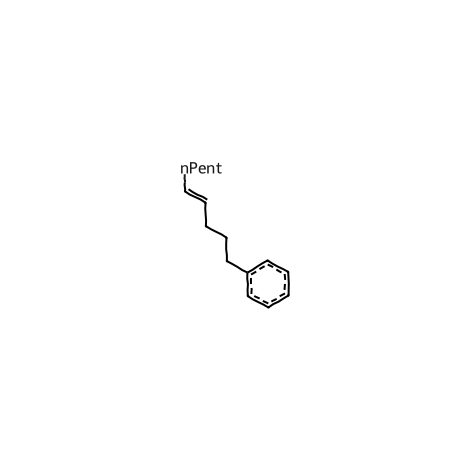 CCCCC/C=C/CCCc1ccccc1